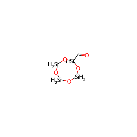 O=C[SiH]1O[SiH2]O[SiH2]O[SiH2]O1